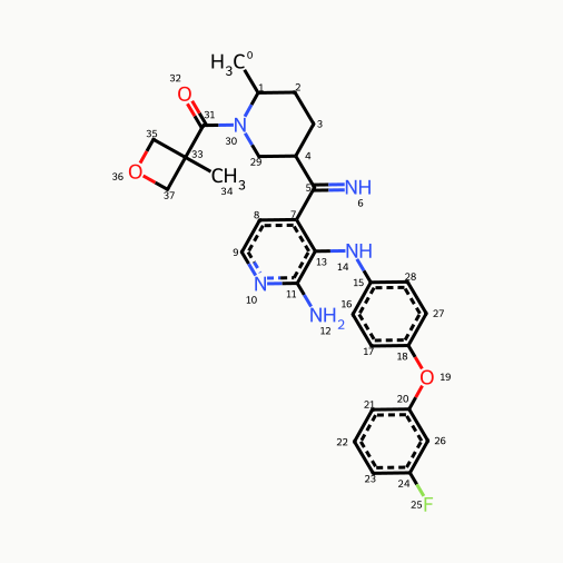 CC1CCC(C(=N)c2ccnc(N)c2Nc2ccc(Oc3cccc(F)c3)cc2)CN1C(=O)C1(C)COC1